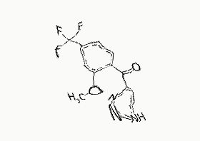 COc1cc(C(F)(F)F)ccc1C(=O)c1c[nH]nn1